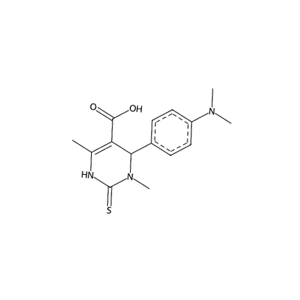 CC1=C(C(=O)O)C(c2ccc(N(C)C)cc2)N(C)C(=S)N1